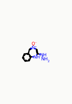 NNC1=C[N+]([O-])=Cc2ccccc2N1